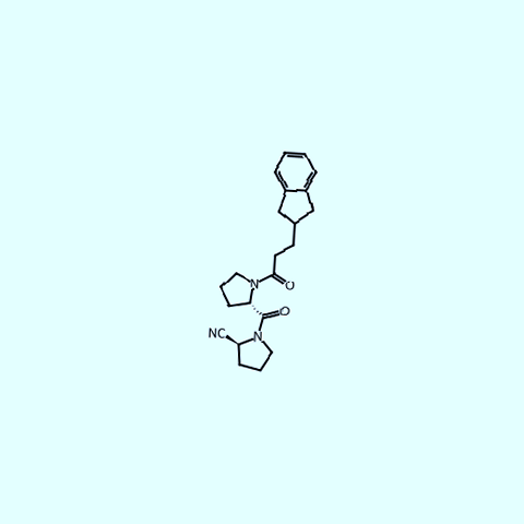 N#C[C@@H]1CCCN1C(=O)[C@@H]1CCCN1C(=O)CCC1Cc2ccccc2C1